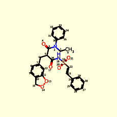 CCN(C(=O)C(Cc1ccc2c(c1)OOC2)C(=O)NS(=O)(=O)/C=C/c1ccccc1)c1ccccc1